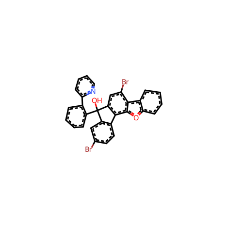 OC1(c2ccccc2-c2ccccn2)c2cc(Br)ccc2-c2c1cc(Br)c1c2oc2ccccc21